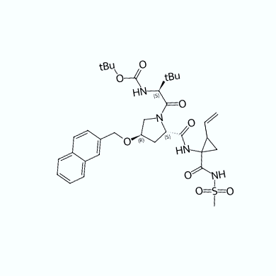 C=CC1CC1(NC(=O)[C@@H]1C[C@@H](OCc2ccc3ccccc3c2)CN1C(=O)[C@@H](NC(=O)OC(C)(C)C)C(C)(C)C)C(=O)NS(C)(=O)=O